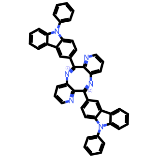 c1ccc(-n2c3ccccc3c3cc(/C4=N/c5cccnc5/C(c5ccc6c(c5)c5ccccc5n6-c5ccccc5)=N\c5cccnc54)ccc32)cc1